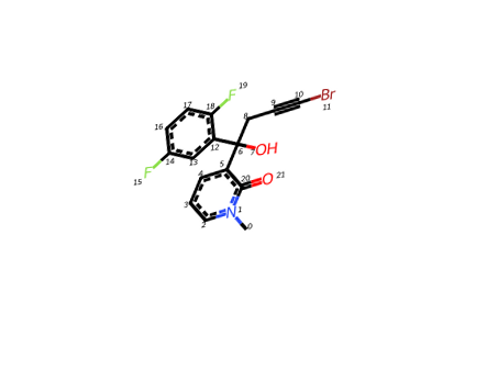 Cn1cccc(C(O)(CC#CBr)c2cc(F)ccc2F)c1=O